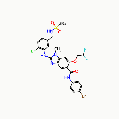 Cn1c(Nc2cc(CNS(=O)(=O)C(C)(C)C)ccc2Cl)nc2cc(C(=O)Nc3ccc(Br)cc3)c(OCC(F)F)cc21